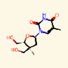 Cc1cn([C@H]2C[C@@](C)(CO)[C@@H](CO)O2)c(=O)[nH]c1=O